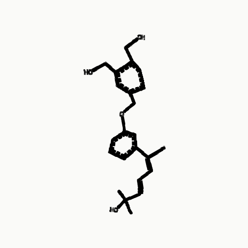 C/C(=C/C=C/C(C)(C)O)c1cccc(OCc2ccc(CO)c(CO)c2)c1